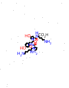 NCCCC[C@H](NC(=O)[C@@H]1C[C@@H](O)CN1C(=O)[C@H](Cc1ccc(O)cc1)NC(=O)[C@@H]1CCCN1C(=O)[C@@H](N)CCCCN)C(=O)O